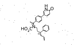 C=CC[C@@H](CCN(C(=O)O)[C@@H](C)c1ccc(-c2ccc(=O)[nH]c2)cc1)c1ccccc1